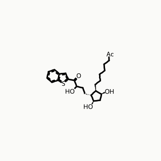 CC(=O)CCCCCC[C@@H]1[C@@H](CCC(O)C(=O)c2cc3ccccc3s2)[C@H](O)C[C@@H]1O